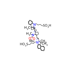 CN(C(=O)OC(C)(C)C)C1=C(/C=C/C2=[N+](CCCCS(=O)(=O)O)c3ccc4ccccc4c3C2(C)C)CC/C1=C\C=C1\N(CCCCS(=O)(=O)O)c2ccccc2C1(C)C